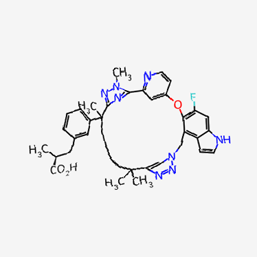 C[C@@H](Cc1cccc(C2(C)CCCCC(C)(C)c3cn(nn3)Cc3c(c(F)cc4[nH]ccc34)Oc3ccnc(c3)-c3nc2nn3C)c1)C(=O)O